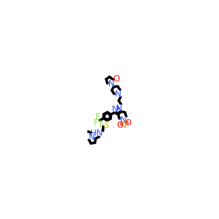 CCN1CCCC1CNCCSc1cc(-c2nn(CCCN3CCC(N4CCCC4=O)CC3)c3c2CN(S(C)(=O)=O)CC3)ccc1C(F)(F)F